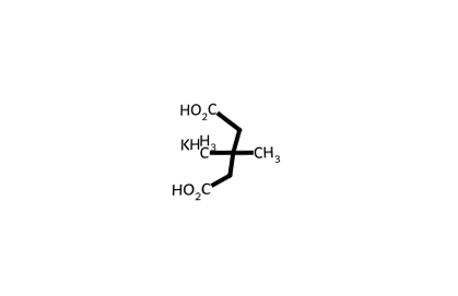 CC(C)(CC(=O)O)CC(=O)O.[KH]